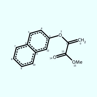 C=C(Oc1ccc2ccccc2c1)C(=O)OC